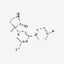 CC1(c2cc(Cl)nc(-c3ccc(F)cc3)c2)CCNC1=O